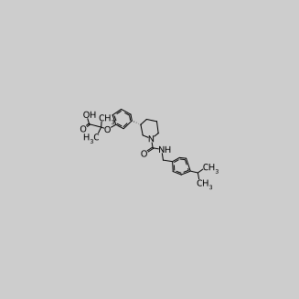 CC(C)c1ccc(CNC(=O)N2CCC[C@@H](c3cccc(OC(C)(C)C(=O)O)c3)C2)cc1